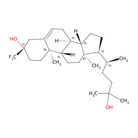 C[C@@H](CCC(C)(C)O)[C@@H]1CC[C@H]2[C@@H]3CC=C4C[C@](O)(C(F)(F)F)CC[C@]4(C)[C@H]3CC[C@@]21C